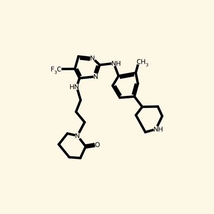 Cc1cc(C2CCNCC2)ccc1Nc1ncc(C(F)(F)F)c(NCCCN2CCCCC2=O)n1